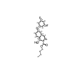 CCCCOC(=O)c1ncc2cc(Oc3cc(F)cc(F)c3)ccc2c1O